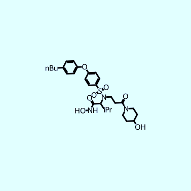 CCCCc1ccc(Oc2ccc(S(=O)(=O)N(CCC(=O)N3CCC(O)CC3)C(C(=O)NO)C(C)C)cc2)cc1